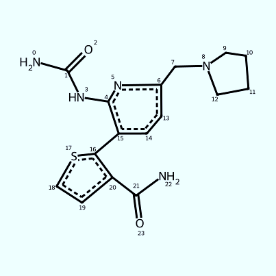 NC(=O)Nc1nc(CN2CCCC2)ccc1-c1sccc1C(N)=O